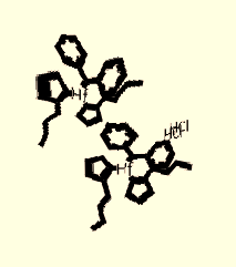 CCCCC1=[C]([Hf]([C]2=C(CCCC)C=CC2)=[C](c2ccccc2)c2ccccc2)CC=C1.CCCCC1=[C]([Hf]([C]2=C(CCCC)C=CC2)=[C](c2ccccc2)c2ccccc2)CC=C1.Cl.Cl